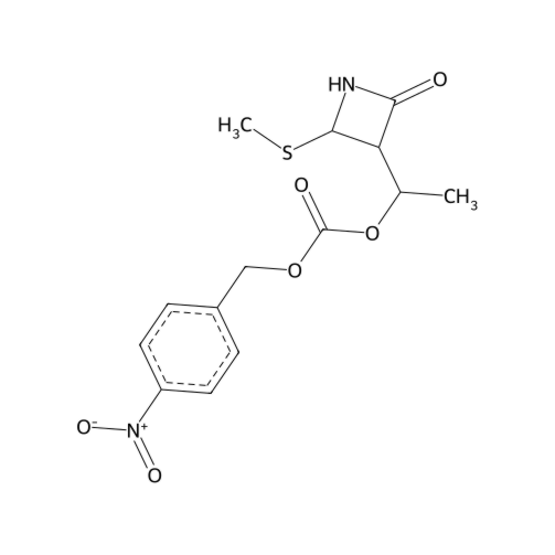 CSC1NC(=O)C1C(C)OC(=O)OCc1ccc([N+](=O)[O-])cc1